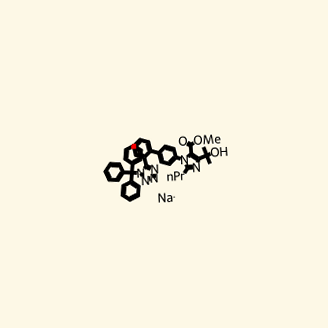 CCCc1nc(C(C)(C)O)c(C(=O)OC)n1-c1ccc(-c2ccccc2-c2nnnn2C(c2ccccc2)(c2ccccc2)c2ccccc2)cc1.[Na]